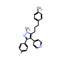 Cc1ccc(CCCc2c(-c3ccncc3)c(-c3ccc(F)cc3)nn2C)cc1